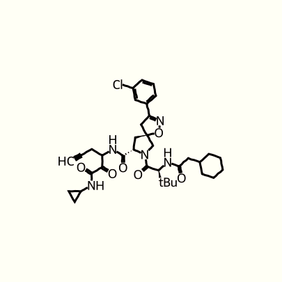 C#CCC(NC(=O)[C@@H]1C[C@]2(CC(c3cccc(Cl)c3)=NO2)CN1C(=O)[C@@H](NC(=O)CC1CCCCC1)C(C)(C)C)C(=O)C(=O)NC1CC1